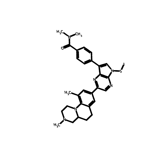 Cc1cc(-c2cnc3c(n2)c(-c2ccc(C(=O)N(C)C)cc2)cn3SI)cc2c1N1CCN(C)CC1CC2